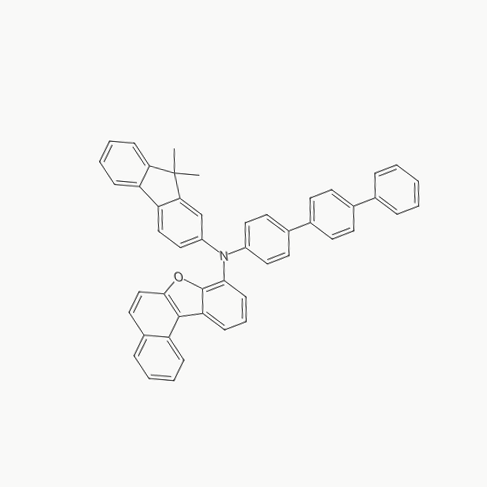 CC1(C)c2ccccc2-c2ccc(N(c3ccc(-c4ccc(-c5ccccc5)cc4)cc3)c3cccc4c3oc3ccc5ccccc5c34)cc21